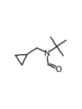 CC(C)(C)N(C=O)CC1CC1